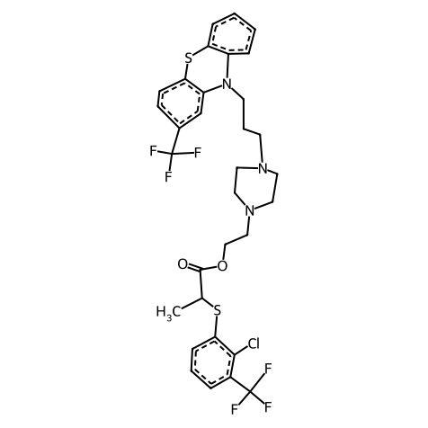 CC(Sc1cccc(C(F)(F)F)c1Cl)C(=O)OCCN1CCN(CCCN2c3ccccc3Sc3ccc(C(F)(F)F)cc32)CC1